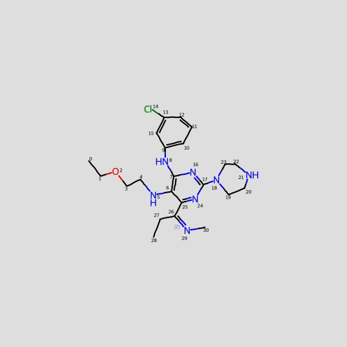 CCOCCNc1c(Nc2cccc(Cl)c2)nc(N2CCNCC2)nc1/C(CC)=N\C